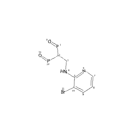 O=PC(CNc1ncccc1Br)P=O